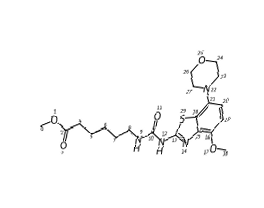 COC(=O)CCCCCNC(=O)Nc1nc2c(OC)ccc(N3CCOCC3)c2s1